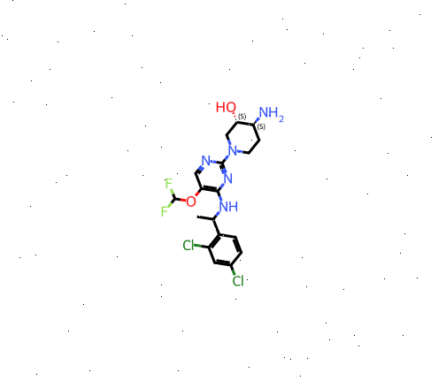 CC(Nc1nc(N2CC[C@H](N)[C@@H](O)C2)ncc1OC(F)F)c1ccc(Cl)cc1Cl